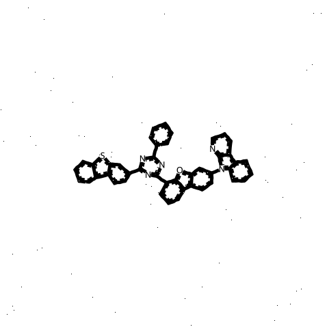 c1ccc(-c2nc(-c3ccc4c(c3)sc3ccccc34)nc(-c3cccc4c3oc3cc(-n5c6ccccc6c6cccnc65)ccc34)n2)cc1